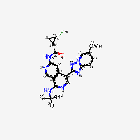 [2H]C([2H])([2H])Nc1ncc(-c2nc3ccc(OC)cn3n2)c2cc(NC(=O)[C@@H]3C[C@@H]3F)ncc12